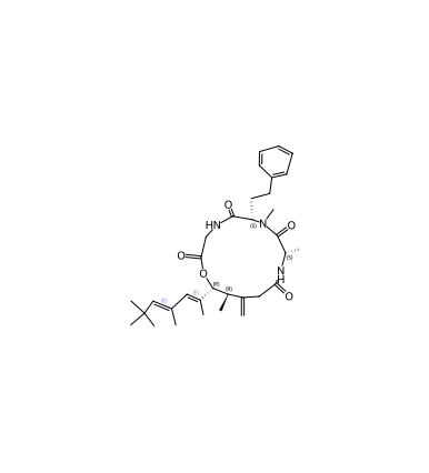 C=C1CC(=O)N[C@@H](C)C(=O)N(C)[C@@H](CCc2ccccc2)C(=O)NCC(=O)O[C@@H](/C(C)=C/C(C)=C/C(C)(C)C)[C@@H]1C